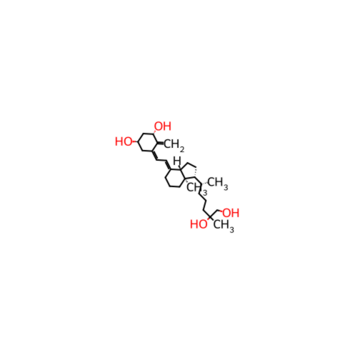 C=C1C(=CC=C2CCC[C@]3(C)[C@@H]([C@H](C)CCCC(C)(O)CO)CC[C@@H]23)C[C@@H](O)C[C@@H]1O